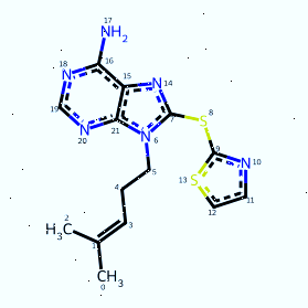 CC(C)=CCCn1c(Sc2nccs2)nc2c(N)ncnc21